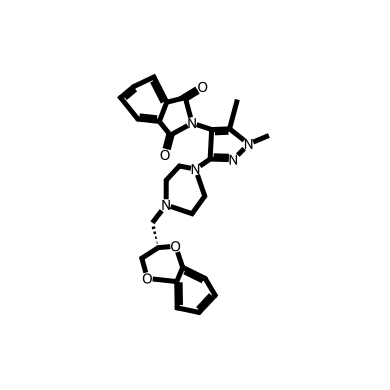 Cc1c(N2C(=O)c3ccccc3C2=O)c(N2CCN(C[C@H]3COc4ccccc4O3)CC2)nn1C